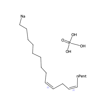 CCCCC/C=C\C/C=C\CCCCCCC[CH2][Na].O=P(O)(O)O